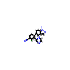 N#Cc1ccc(-c2ccc3[nH]ncc3c2)c(-c2cnccn2)c1F